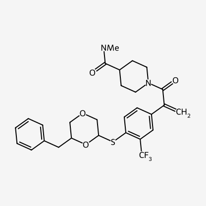 C=C(C(=O)N1CCC(C(=O)NC)CC1)c1ccc(SC2COCC(Cc3ccccc3)O2)c(C(F)(F)F)c1